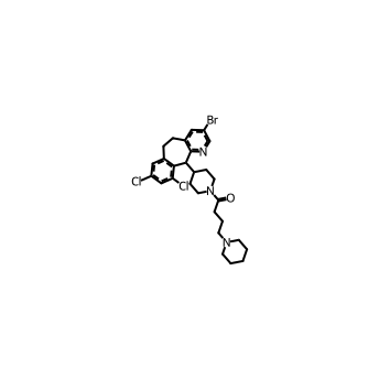 O=C(CCCN1CCCCC1)N1CCC(C2c3ncc(Br)cc3CCc3cc(Cl)cc(Cl)c32)CC1